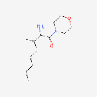 CCCCCC(C)C(N)C(=O)N1CCOCC1